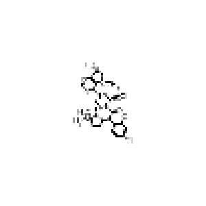 C[C@@H]1C[C@@H](O)c2ncnc(N3CCN(C(=O)C(c4ccc(Cl)cc4Cl)C4CCC(C)(C)N4)CC3)c21.Cl.Cl